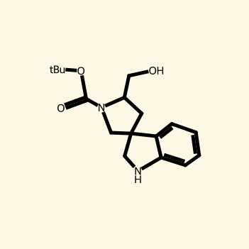 CC(C)(C)OC(=O)N1CC2(CNc3ccccc32)CC1CO